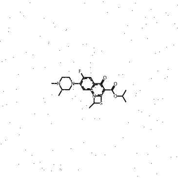 CC(C)OC(=O)c1c2n(c3cc(N4CCN(C)C(C)C4)c(F)cc3c1=O)C(C)S2